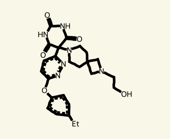 CCc1ccc(Oc2ccc(C3(N4CCC5(CC4)CN(CCO)C5)C(=O)NC(=O)NC3=O)nn2)cc1